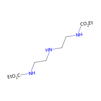 CCOC(=O)NCCNCCNC(=O)OCC